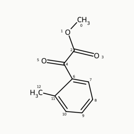 COC(=O)C(=O)c1ccccc1C